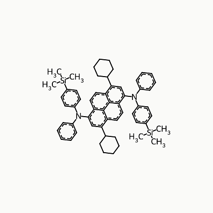 C[Si](C)(C)c1ccc(N(c2ccccc2)c2cc(C3CCCCC3)c3ccc4c(N(c5ccccc5)c5ccc([Si](C)(C)C)cc5)cc(C5CCCCC5)c5ccc2c3c54)cc1